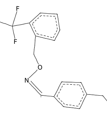 CCc1ccc(/[C]=N\OCc2ccccc2C(F)(F)F)cc1